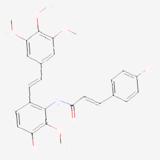 COc1cc(C=Cc2ccc(O)c(OC)c2NC(=O)/C=C/c2ccc(O)cc2)cc(OC)c1OC